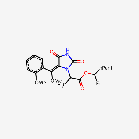 CCCCCC(CC)OC(=O)C(C)N1C(=O)NC(=O)C1=C(OC)c1ccccc1OC